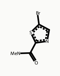 CNC(=O)c1ncc(Br)s1